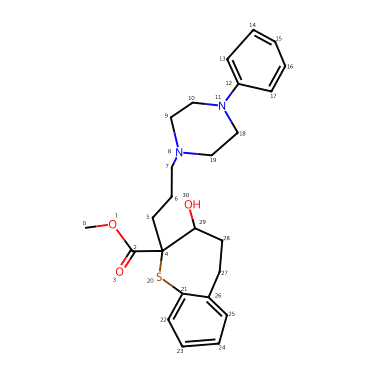 COC(=O)C1(CCCN2CCN(c3ccccc3)CC2)Sc2ccccc2CCC1O